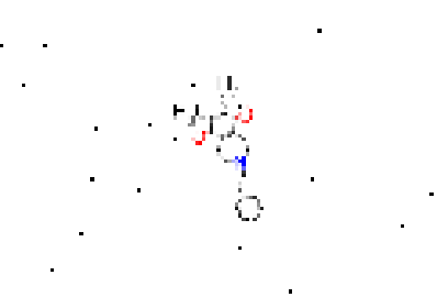 CC1=C(C)C(=O)C2=C(CCN(CCc3ccccc3)CC2)C1=O